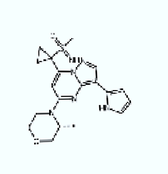 C[C@@H]1COCCN1c1cc(C2(S(C)(=N)=O)CC2)n2ncc(-c3ccc[nH]3)c2n1